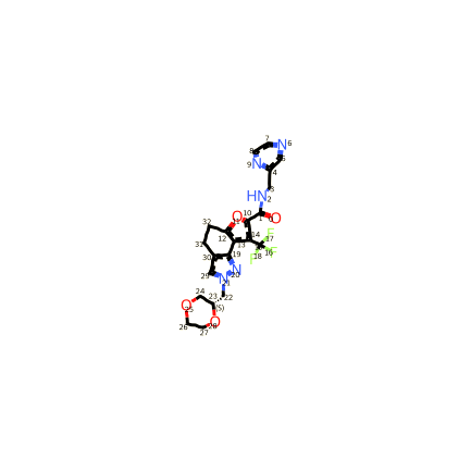 O=C(NCc1cnccn1)c1oc2c(c1C(F)(F)F)-c1nn(C[C@H]3COCCO3)cc1CC2